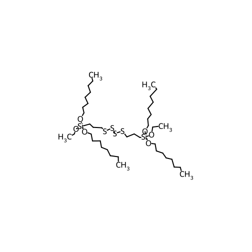 CCCCCCCCO[Si](CCCSSSSCCC[Si](OCC)(OCCCCCCCC)OCCCCCCCC)(OCC)OCCCCCCCC